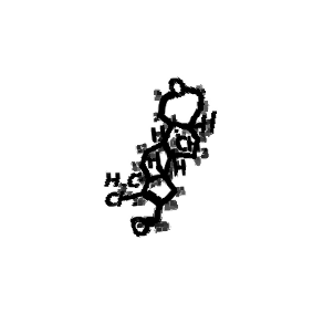 C[C@]12CCOCC[C@@H]1CC[C@@H]1[C@@H]2CC[C@]2(C)C(Cl)=C(C=O)C[C@@H]12